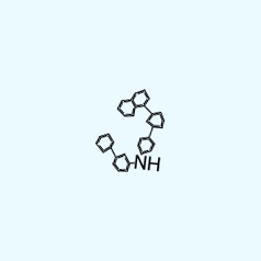 c1ccc(-c2cccc(Nc3ccc(-c4cccc(-c5cccc6ccccc56)c4)cc3)c2)cc1